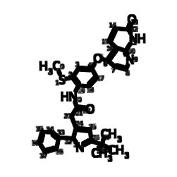 CSc1cc(Oc2ccnc3[nH]c(=O)ccc23)ccc1NC(=O)CC1=CC(C(C)(C)C)=NC1c1ccccc1